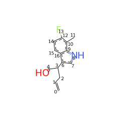 C=CCC(CO)c1c[nH]c2c(C)c(F)ccc12